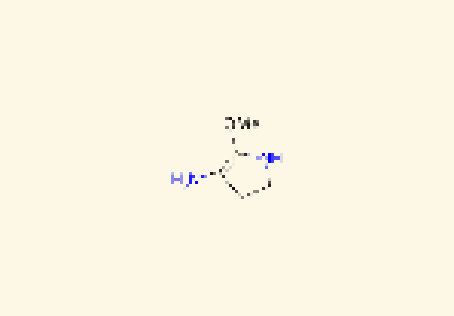 COC1=C(N)CCN1